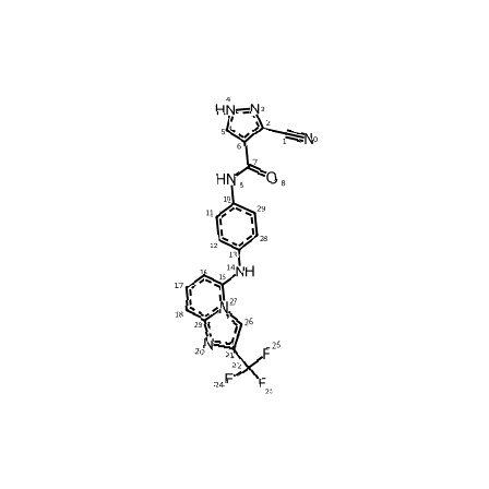 N#Cc1n[nH]cc1C(=O)Nc1ccc(Nc2cccc3nc(C(F)(F)F)cn23)cc1